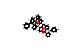 c1ccc(-c2ccccc2N(c2ccccc2)c2ccc3ccc4c(N(c5ccccc5)c5cccc6c5C5(c7cccc(-c8ccccc8)c7-6)C6CC7CC(C6)CC5C7)ccc5ccc2c3c54)cc1